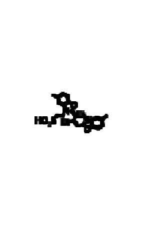 CCC(=Cc1oc2ccc(C)cc2[n+]1CC)C=C1Oc2ccc(C)cc2N1CCS(=O)(=O)O